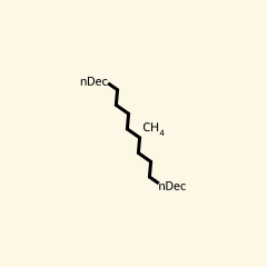 C.CCCCCCCCCCCCCCCCCCCCCCCCCCCC